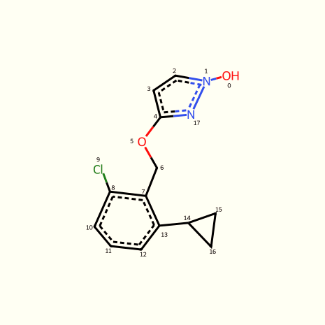 On1ccc(OCc2c(Cl)cccc2C2CC2)n1